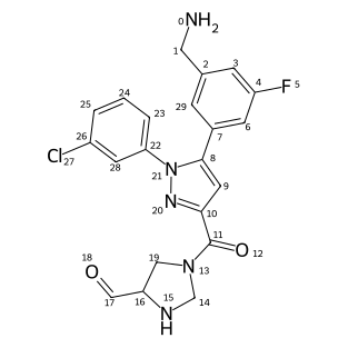 NCc1cc(F)cc(-c2cc(C(=O)N3CNC(C=O)C3)nn2-c2cccc(Cl)c2)c1